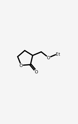 CCOCC1CCOC1=O